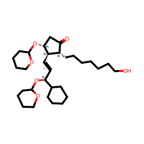 O=C1C[C@@H](OC2CCCCO2)[C@H](/C=C/[C@H](OC2CCCCO2)C2CCCCC2)[C@H]1CCCCCCCO